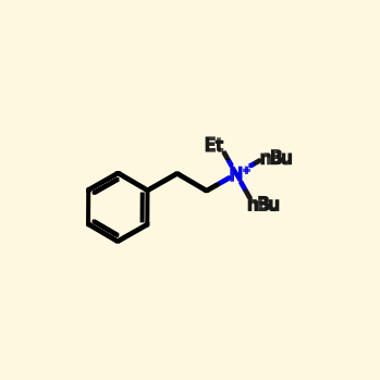 CCCC[N+](CC)(CCCC)CCc1ccccc1